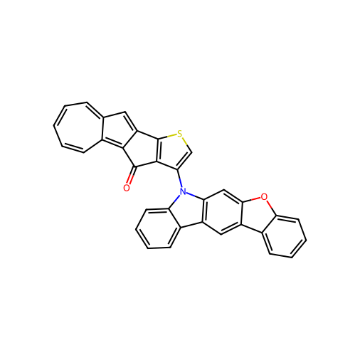 O=C1c2c3cccccc-3cc2-c2scc(-n3c4ccccc4c4cc5c(cc43)oc3ccccc35)c21